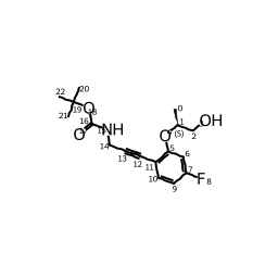 C[C@@H](CO)Oc1cc(F)ccc1C#CCNC(=O)OC(C)(C)C